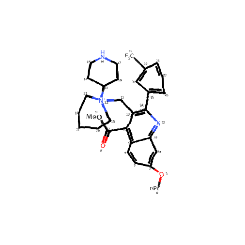 CCCOc1ccc2c(C(=O)OC)c(C[N+]3(C4CCNCC4)CCCCC3)c(-c3cccc(C(F)(F)F)c3)nc2c1